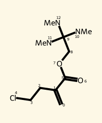 C=C(CCCl)C(=O)OCC(NC)(NC)NC